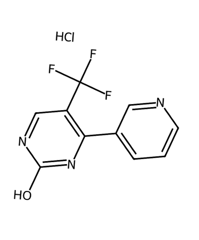 Cl.Oc1ncc(C(F)(F)F)c(-c2cccnc2)n1